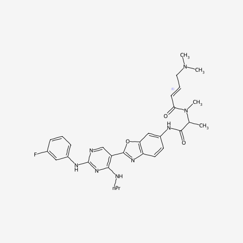 CCCNc1nc(Nc2cccc(F)c2)ncc1-c1nc2ccc(NC(=O)C(C)N(C)C(=O)/C=C/CN(C)C)cc2o1